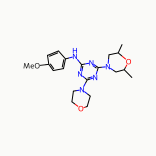 COc1ccc(Nc2nc(N3CCOCC3)nc(N3CC(C)OC(C)C3)n2)cc1